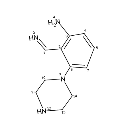 N=Cc1c(N)cccc1N1CCNCC1